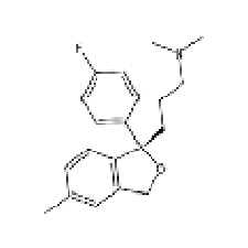 Cc1ccc2c(c1)CO[C@@]2(CCCN(C)C)c1ccc(F)cc1